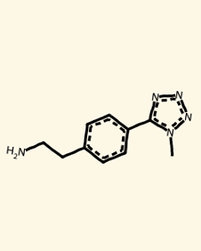 Cn1nnnc1-c1ccc(CCN)cc1